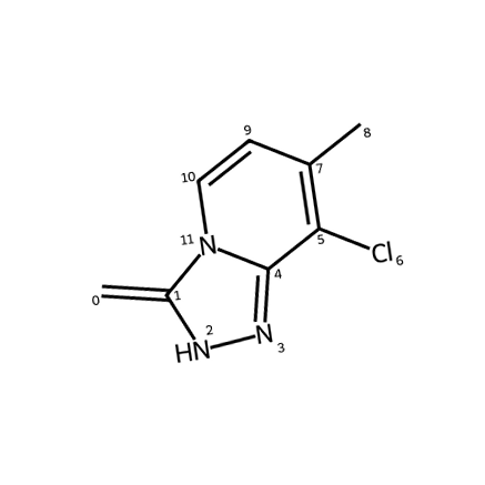 C=C1NN=C2C(Cl)=C(C)C=CN12